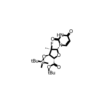 CC(C)(C)OC(=O)[C@H]1O[C@@H](n2ccc(=O)[nH]c2=O)[C@](C)(F)[C@@H]1O[Si](C)(C)C(C)(C)C